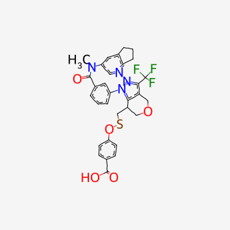 CN(C(=O)c1cccc(-n2nc(C(F)(F)F)c3c2C(CSOc2ccc(C(=O)O)cc2)COC3)c1)c1cnc2c(c1)CCC2